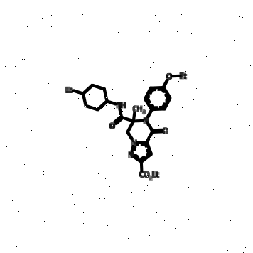 CCOC(=O)c1cc2n(n1)CC(C)(C(=O)NC1CCC(CC)CC1)N(c1ccc(OCC)cc1)C2=O